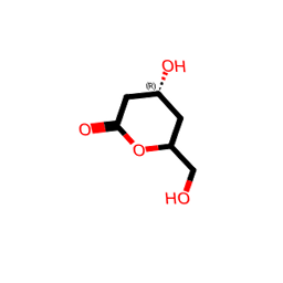 O=C1C[C@H](O)CC(CO)O1